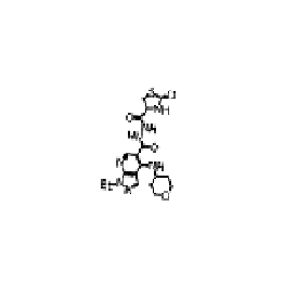 CCn1ncc2c(NC3CCOCC3)c(C(=O)NNC(=O)C3CSC(=O)N3)cnc21